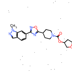 Cn1ncc2ccc(-c3noc(C4CCN(C(=O)OC5CCOC5)CC4)n3)cc21